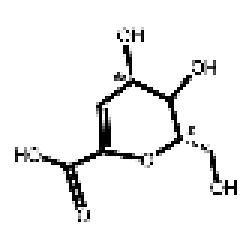 O=C(O)C1=C[C@@H](O)C(O)[C@H](CO)O1